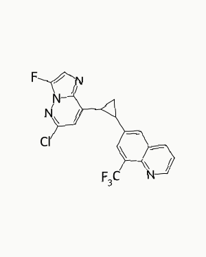 Fc1cnc2c(C3CC3c3cc(C(F)(F)F)c4ncccc4c3)cc(Cl)nn12